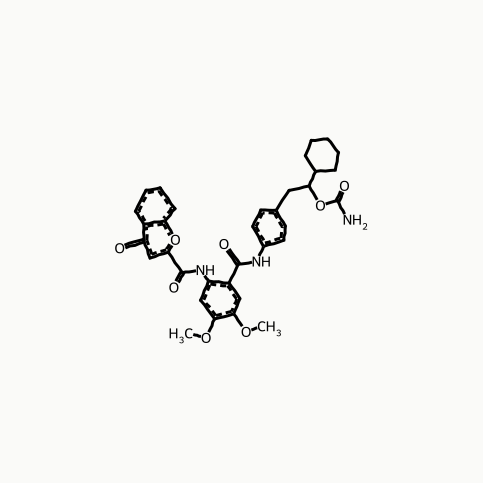 COc1cc(NC(=O)c2cc(=O)c3ccccc3o2)c(C(=O)Nc2ccc(CC(OC(N)=O)C3CCCCC3)cc2)cc1OC